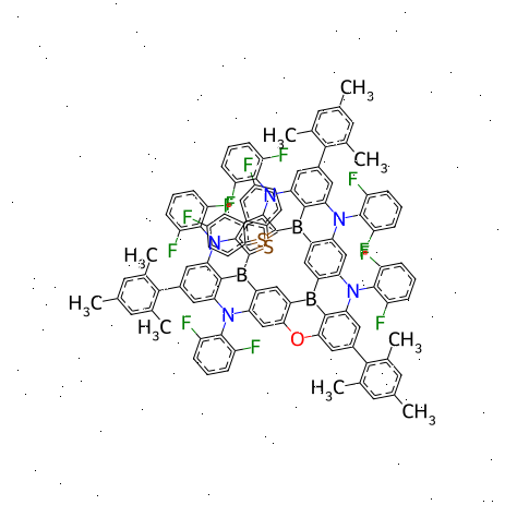 Cc1cc(C)c(-c2cc3c4c(c2)N(c2c(F)cccc2F)c2cc5c(cc2B4c2cc4c(cc2O3)N(c2c(F)cccc2F)c2cc(-c3c(C)cc(C)cc3C)cc3c2B4c2sc4ccc(F)cc4c2N3c2c(F)cccc2F)B2c3sc4ccc(F)cc4c3N(c3c(F)cccc3F)c3cc(-c4c(C)cc(C)cc4C)cc(c32)N5c2c(F)cccc2F)c(C)c1